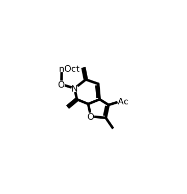 C=C1C=C2C(C(C)=O)=C(C)OC2C(=C)N1OCCCCCCCC